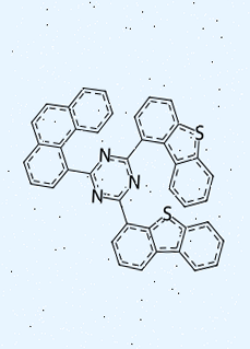 c1ccc2c(c1)ccc1cccc(-c3nc(-c4cccc5c4sc4ccccc45)nc(-c4cccc5sc6ccccc6c45)n3)c12